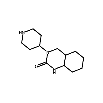 O=C1NC2CCCCC2CN1C1CCNCC1